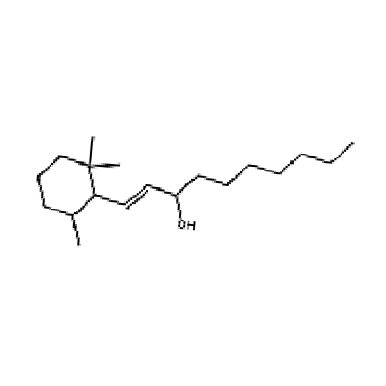 CCCCCCCC(O)C=CC1C(C)CCCC1(C)C